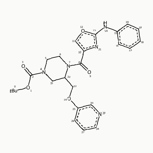 CC(C)(C)OC(=O)N1CCN(C(=O)c2coc(Nc3ccccc3)n2)C(COc2cccnc2)C1